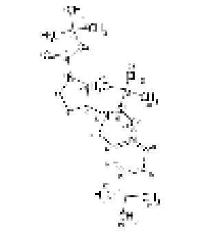 CC(C)(C)OC(=O)N1CCC(N(Cc2cc(C(C)(C)C)ccn2)[S+]([O-])C(C)(C)C)C1